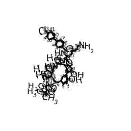 C[C@H](NC(=O)[C@@H]1Cc2ccc(O)c(c2)-c2cc(ccc2O)[C@H](N(C)C(=O)[C@H](CCCCN)NC(=O)c2ccc(-c3ccc(Cl)cc3)cc2)C(=O)N[C@@H](C)C(O)N1)C(=O)N(C)C